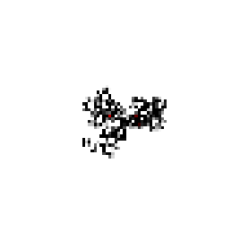 CC1(C)c2ccccc2-c2ccc(N(c3cccc(-c4cccc5c4C(c4ccccc4)(c4ccccc4)c4ccccc4-5)c3)c3cccc(-c4cccc5c4C(c4ccccc4)(c4ccccc4)c4ccccc4-5)c3)cc21